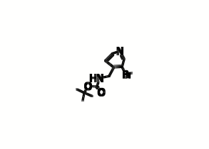 CC(C)(C)OC(=O)NCc1ccncc1Br